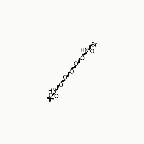 CC(C)(C)OC(=O)NCCOCCOCCOCCOCCOCCNC(=O)CBr